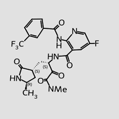 CNC(=O)C(=O)[C@H](C[C@@H]1C[C@@H](C)NC1=O)NC(=O)c1cc(F)cnc1NC(=O)c1cccc(C(F)(F)F)c1